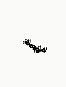 COCC(O)CNC12CCC[C@@H]1C1CCC3C4(C)CC=C(C5=CCC(C(=O)O)CC5)C(C)(C)C4CCC3(C)[C@]1(C)CC2